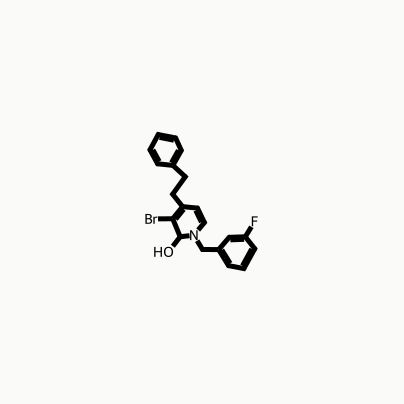 OC1C(Br)=C(CCc2ccccc2)C=CN1Cc1cccc(F)c1